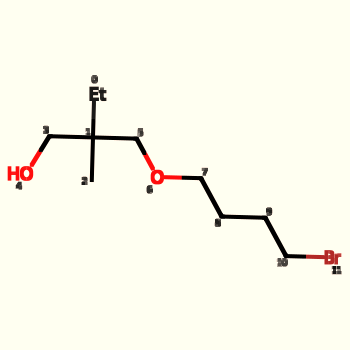 CCC(C)(CO)COCCCCBr